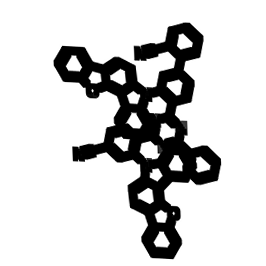 N#Cc1ccc(-c2nc(-c3ccccc3)nc(-c3ccc(-c4ccccc4C#N)cc3-n3c4ccccc4c4c5oc6ccccc6c5ccc43)n2)c(-n2c3ccccc3c3c4oc5ccccc5c4ccc32)c1